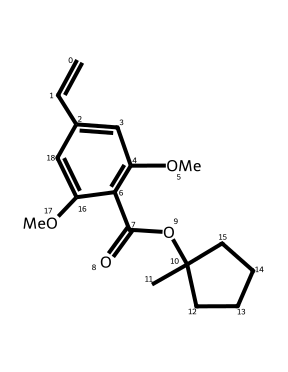 C=Cc1cc(OC)c(C(=O)OC2(C)CCCC2)c(OC)c1